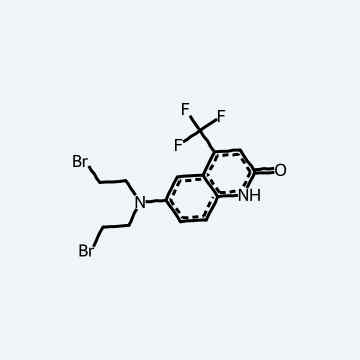 O=c1cc(C(F)(F)F)c2cc(N(CCBr)CCBr)ccc2[nH]1